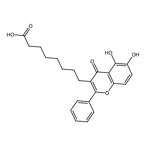 O=C(O)CCCCCCCc1c(-c2ccccc2)oc2ccc(O)c(O)c2c1=O